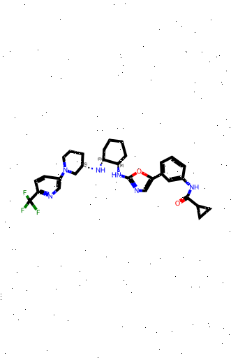 O=C(Nc1cccc(-c2cnc(N[C@@H]3CCCC[C@H]3N[C@H]3CCCN(c4ccc(C(F)(F)F)nc4)C3)o2)c1)C1CC1